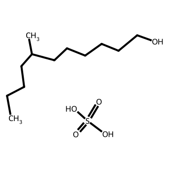 CCCCC(C)CCCCCCO.O=S(=O)(O)O